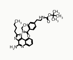 CCCCc1nc2c(N)nc3ccccc3c2n1N(CC)C(=O)c1ccc(CCNC(=O)OC(C)(C)C)cc1